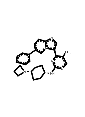 Cc1cnc(N[C@H]2CC[C@@H](N3CCC3)CC2)nc1-c1cnc2ccc(-c3ccccc3)cn12